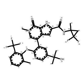 Cc1cccc(C(F)(F)F)c1Oc1ncc(C(C)(C)O)cc1-c1cn(C)c(=O)c2[nH]c(C(=O)NC3(C)CC3(F)F)cc12